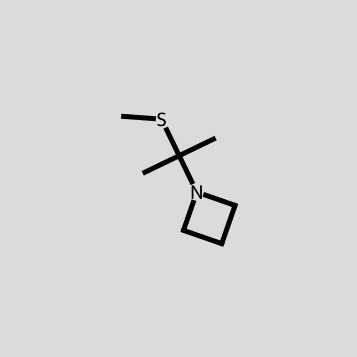 CSC(C)(C)N1CCC1